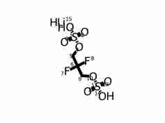 O=S(=O)(O)OCC(F)(F)COS(=O)(=O)O.[LiH]